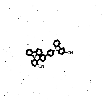 N#Cc1ccc2c(c1)c1ccccc1n2-c1ccc(-c2ccc(-c3c(C#N)cccc3-n3c4ccccc4c4ccccc43)cc2)cc1